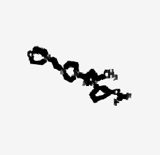 Cc1cc(N2CCN(CCN3CCOCC3)CC2)nn1-c1cccc(OC(F)F)c1